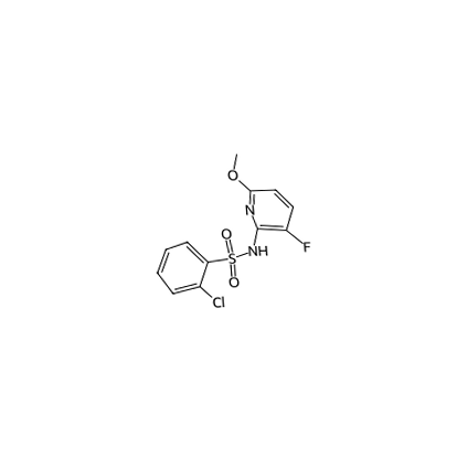 COc1ccc(F)c(NS(=O)(=O)c2ccccc2Cl)n1